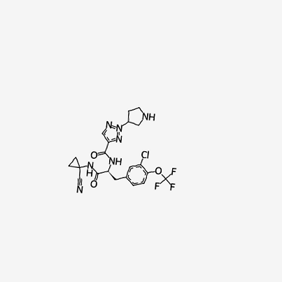 N#CC1(NC(=O)[C@H](Cc2ccc(OC(F)(F)F)c(Cl)c2)NC(=O)c2cnn(C3CCNC3)n2)CC1